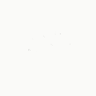 Cc1cc(F)ccc1-c1nc(N[C@H](C)CO)nc2c1C(=O)NCN2C1CCCCC1